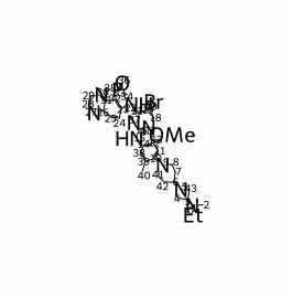 CCN(C)C1CN(C2CCN(c3cc(OC)c(Nc4ncc(Br)c(Nc5ccc6nccnc6c5P(C)(C)=O)n4)cc3C)CC2)C1